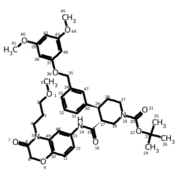 COCCCN1C(=O)COc2ccc(NC(=O)[C@H]3CN(C(=O)OC(C)(C)C)CC[C@@H]3c3cccc(COc4cc(OC)cc(OC)c4)c3)cc21